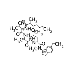 C=CCCC(OC)C(C)C(=O)N[C@H](C(=O)N[C@@H](C)C(=O)N1CCCC(C(=O)N(C)[C@@H]2CCc3ccc(C=C)cc32)N1)C(C)C